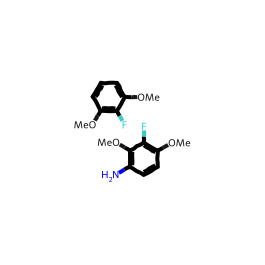 COc1ccc(N)c(OC)c1F.COc1cccc(OC)c1F